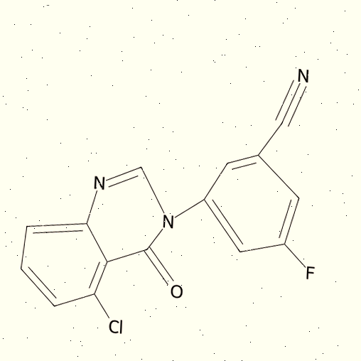 N#Cc1cc(F)cc(-n2cnc3cccc(Cl)c3c2=O)c1